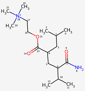 CC(C)CC(CC(C(N)=O)C(C)C)C(=O)OCC[N+](C)(C)C